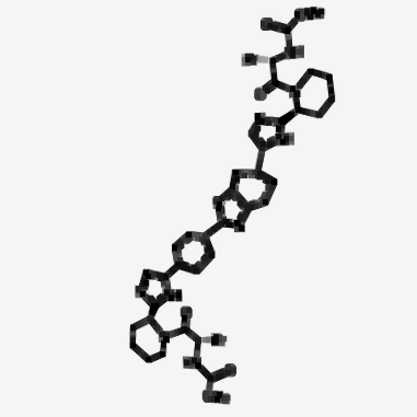 COC(=O)N[C@H](C(=O)N1CCCC[C@H]1c1ncc(-c2ccc(-c3nc4ccc(-c5cnc([C@@H]6CCCCN6C(=O)[C@@H](NC(=O)OC)C(C)C)[nH]5)cc4s3)cc2)[nH]1)C(C)C